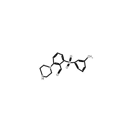 Cc1cccc(S(=O)(=O)c2cccc(N3CCNCC3)c2C=O)c1